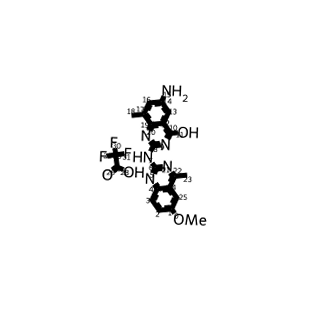 COc1ccc2nc(Nc3nc(O)c4cc(N)cc(C)c4n3)nc(C)c2c1.O=C(O)C(F)(F)F